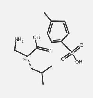 CC(C)C[C@H](CN)C(=O)O.Cc1ccc(S(=O)(=O)O)cc1